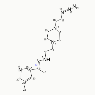 C/C(=C\NCCN1CCN(CCN=[N+]=[N-])CC1)c1cncc(C)c1